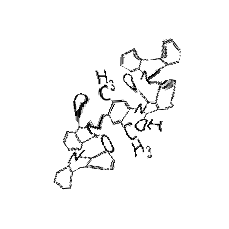 Cc1cc(N2C(=O)c3c(cccc3-n3c4ccccc4c4ccccc43)C2O)c(C)cc1N1C(=O)c2cccc(-n3c4ccccc4c4ccccc43)c2C1=O